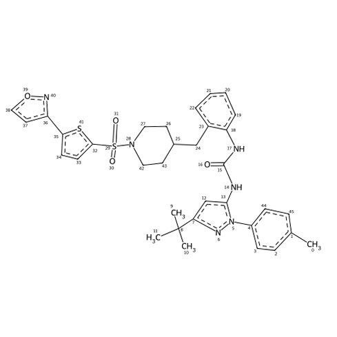 Cc1ccc(-n2nc(C(C)(C)C)cc2NC(=O)Nc2ccccc2CC2CCN(S(=O)(=O)c3ccc(-c4ccon4)s3)CC2)cc1